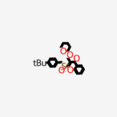 CC(C)(C)c1ccc(C[S+]([O-])c2oc3ccccc3c(=O)c2COC2CCCCO2)cc1